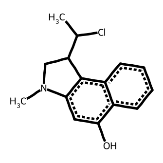 CC(Cl)C1CN(C)c2cc(O)c3ccccc3c21